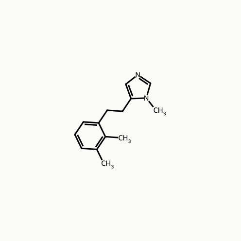 Cc1cccc(CCc2cncn2C)c1C